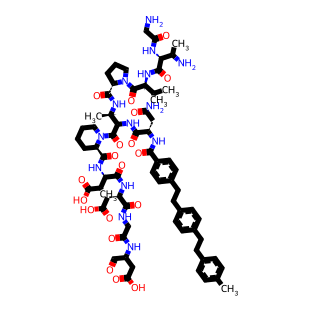 Cc1ccc(CCc2ccc(CCc3ccc(C(=O)N[C@@H](CC(N)=O)C(=O)NC(C(=O)N4CCCC[C@@H]4C(=O)N[C@H](C(=O)N[C@@H](CC(=O)O)C(=O)NCC(=O)NC(C=O)CC(=O)O)C(C)C(=O)O)[C@@H](C)NC(=O)[C@@H]4CCCN4C(=O)[C@@H](NC(=O)[C@H](NC(=O)CN)C(C)N)C(C)C)cc3)cc2)cc1